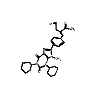 Cn1c(-c2ccc(/C=C(\CCC#N)C(N)=O)cc2)nc2c(=O)n(C3CCCCC3)c(=O)n(C3CCCCC3)c21